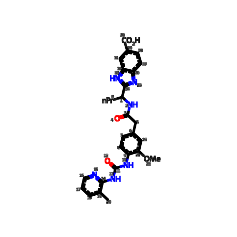 CCCC(NC(=O)Cc1ccc(NC(=O)Nc2ncccc2C)c(OC)c1)c1nc2ccc(C(=O)O)cc2[nH]1